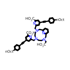 CCCCCCCCc1ccc(C#Cc2cc(CN3CCN(CC(=O)O)Cc4cccc(n4)CN(Cc4cc(C#Cc5ccc(CCCCCCCC)cc5)cc(C(=O)O)n4)CC3)nc(C(=O)O)c2)cc1